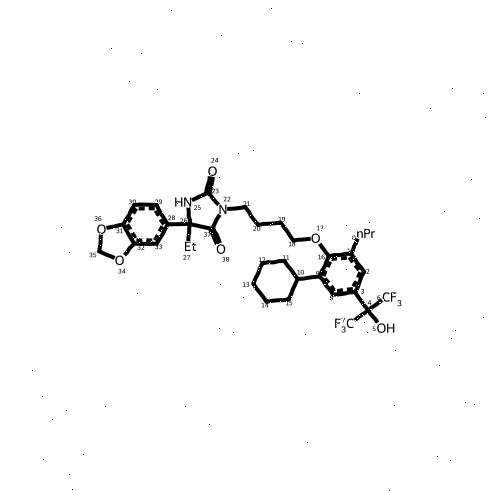 CCCc1cc(C(O)(C(F)(F)F)C(F)(F)F)cc(C2CCCCC2)c1OCCCCN1C(=O)NC(CC)(c2ccc3c(c2)OCO3)C1=O